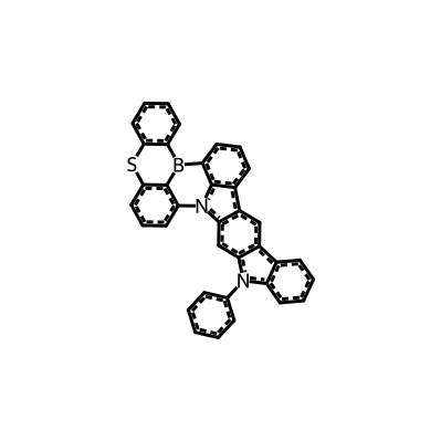 c1ccc(-n2c3ccccc3c3cc4c5cccc6c5n(c4cc32)-c2cccc3c2B6c2ccccc2S3)cc1